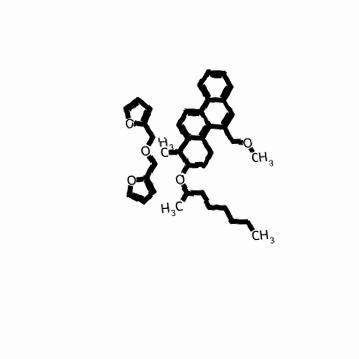 CCCCCCC(C)OC1CCc2c(ccc3c2c(COC)cc2ccccc23)C1C.c1coc(COCc2ccco2)c1